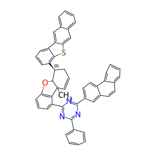 CC12C=CC[C@H](c3cccc4c3sc3cc5ccccc5cc34)C1Oc1cccc(-c3nc(-c4ccccc4)nc(-c4ccc5c(ccc6ccccc65)c4)n3)c12